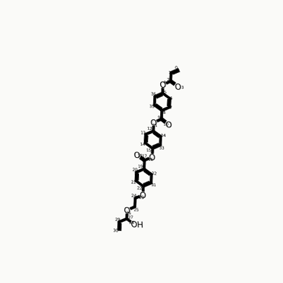 C=CC(=O)Oc1ccc(C(=O)Oc2ccc(OC(=O)c3ccc(OCCOC(O)C=C)cc3)cc2)cc1